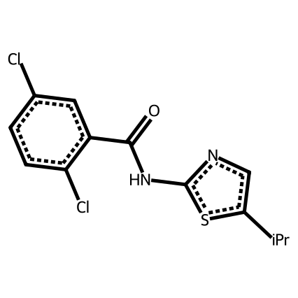 CC(C)c1cnc(NC(=O)c2cc(Cl)ccc2Cl)s1